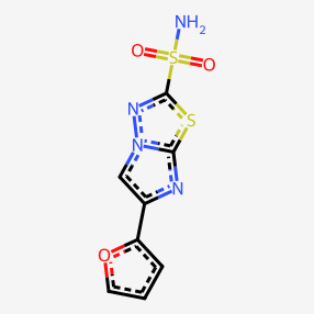 NS(=O)(=O)c1nn2cc(-c3ccco3)nc2s1